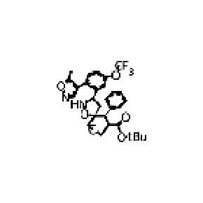 Cc1oncc1-c1ccc(OC(F)(F)F)cc1[C@H]1C[C@@]2(CCCC(C(=O)OC(C)(C)C)[C@H]2c2ccccc2)ON1